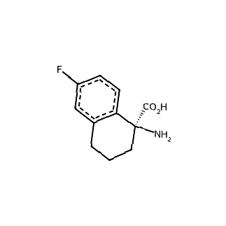 N[C@@]1(C(=O)O)CCCc2cc(F)ccc21